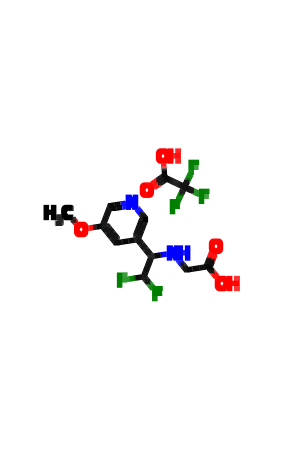 COc1cncc(C(NCC(=O)O)C(F)F)c1.O=C(O)C(F)(F)F